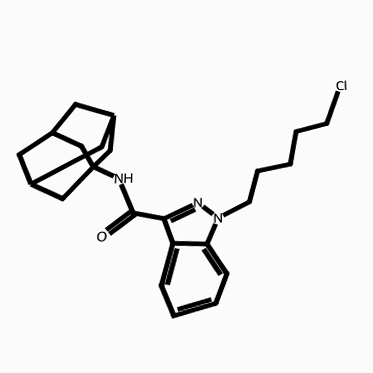 O=C(NC12CC3CC(CC(C3)C1)C2)c1nn(CCCCCCl)c2ccccc12